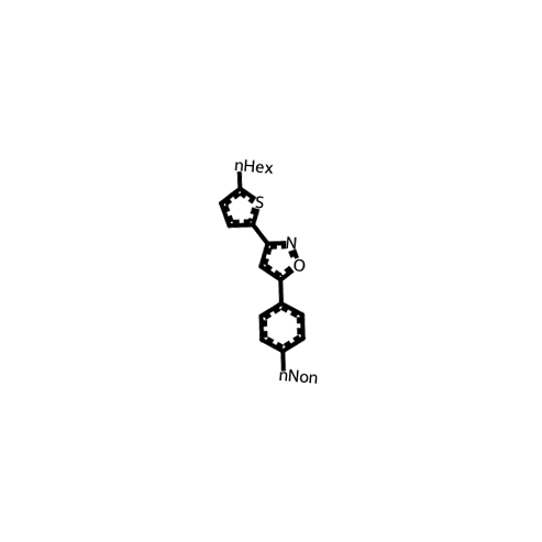 CCCCCCCCCc1ccc(-c2cc(-c3ccc(CCCCCC)s3)no2)cc1